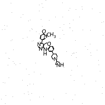 Cn1cc(-c2ncnc3c2COc2ccc(C4CCN(C5CNC5)CC4)cc2N3)ccc1=O